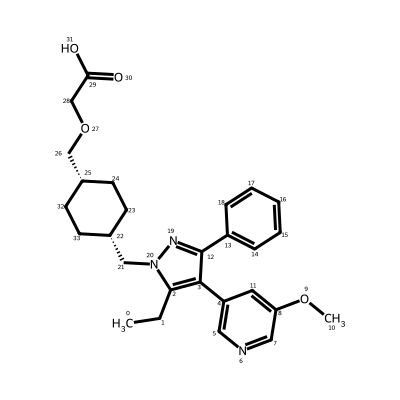 CCc1c(-c2cncc(OC)c2)c(-c2ccccc2)nn1C[C@H]1CC[C@@H](COCC(=O)O)CC1